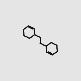 [CH](CC1C=CCCC1)C1C=CCCC1